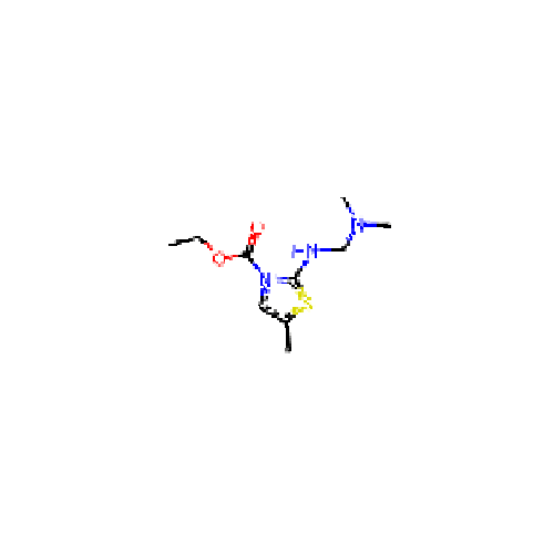 CCOC(=O)[n+]1cc(C)sc1NCN(C)C